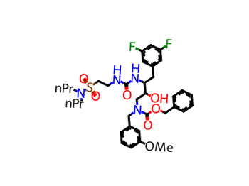 CCCN(CCC)S(=O)(=O)CCNC(=O)NC(Cc1cc(F)cc(F)c1)C(O)CN(Cc1cccc(OC)c1)C(=O)OCc1ccccc1